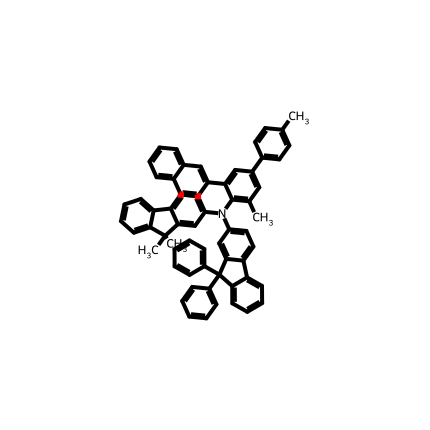 Cc1ccc(-c2cc(C)c(N(c3ccc4c(c3)C(C)(C)c3ccccc3-4)c3ccc4c(c3)C(c3ccccc3)(c3ccccc3)c3ccccc3-4)c(-c3ccc4ccccc4c3)c2)cc1